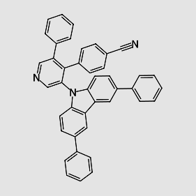 N#Cc1ccc(-c2c(-c3ccccc3)cncc2-n2c3ccc(-c4ccccc4)cc3c3cc(-c4ccccc4)ccc32)cc1